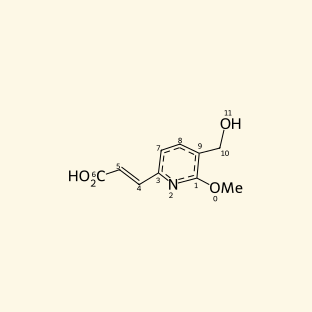 COc1nc(/C=C/C(=O)O)ccc1CO